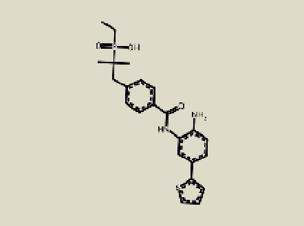 CCP(=O)(O)C(C)(C)Cc1ccc(C(=O)Nc2cc(-c3cccs3)ccc2N)cc1